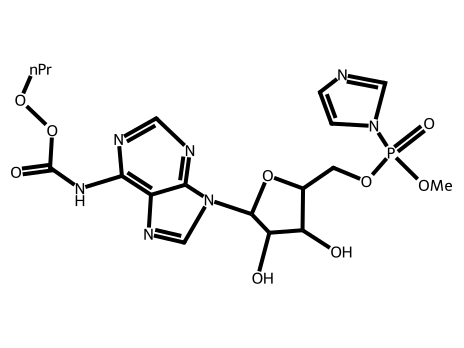 CCCOOC(=O)Nc1ncnc2c1ncn2C1OC(COP(=O)(OC)n2ccnc2)C(O)C1O